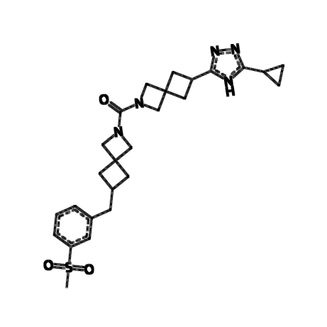 CS(=O)(=O)c1cccc(CC2CC3(C2)CN(C(=O)N2CC4(CC(c5nnc(C6CC6)[nH]5)C4)C2)C3)c1